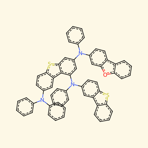 c1ccc(N(c2ccc3c(c2)oc2ccccc23)c2cc(N(c3ccccc3)c3ccc4sc5ccccc5c4c3)c3c(c2)sc2ccc(N(c4ccccc4)c4ccccc4)cc23)cc1